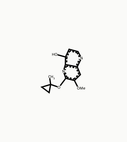 COc1cc2nccc(O)c2nc1OC1(C)CC1